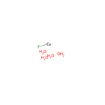 O.O.O.O.[F][Cu]